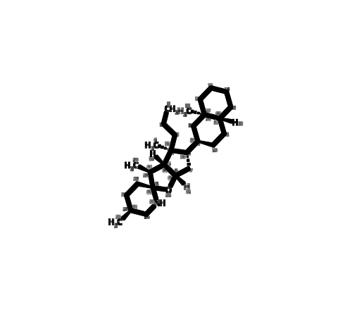 CCC[C@]1(C)[C@@H]2[C@H](C[C@H]1[C@@H]1CC[C@H]3CCCC[C@]3(C)C1)O[C@@]1(CC[C@H](C)CN1)[C@H]2C